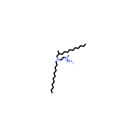 CCCCCCCCCCCCN(CCN(C)N)CC(C)CCCCCCCCCC